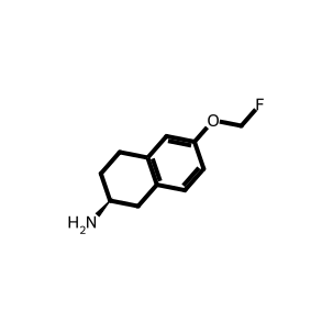 N[C@H]1CCc2cc(OCF)ccc2C1